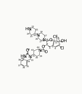 O=C(O[C@H](Cc1cc(Cl)c(O)c(C(F)(F)F)c1)C(=O)N1CCN(C2CCNCC2)CC1)N1CCC(N2Cc3ccccc3NC2=O)CC1